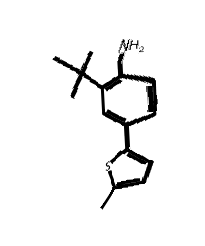 Cc1ccc(-c2ccc(N)c(C(C)(C)C)c2)s1